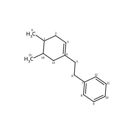 CC1CC=C(CCc2ccccc2)CC1C